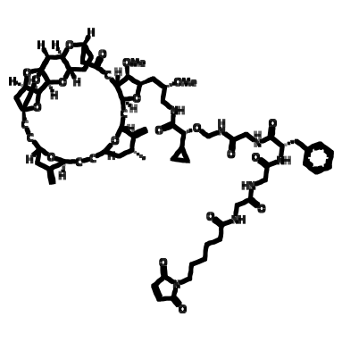 C=C1C[C@@H]2CC[C@@]34C[C@H]5OC6[C@@H](O[C@H]7CC[C@H](CC(=O)C[C@@H]8[C@@H](OC)[C@@H](C[C@@H](CNC(=O)[C@H](OCNC(=O)CNC(=O)[C@H](Cc9ccccc9)NC(=O)CNC(=O)CNC(=O)CCCCCN9C(=O)C=CC9=O)C9CC9)OC)O[C@H]8C[C@H]8O[C@@H](CC[C@@H]1O2)C[C@@H](C)C8=C)O[C@@H]7[C@@H]6O3)[C@H]5O4